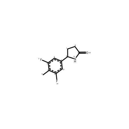 Cc1c(F)cc(C2CCC(=O)N2)cc1F